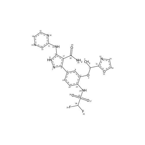 CC(Oc1cc(-c2n[nH]c(Nc3cnccn3)c2C(N)=O)ccc1NS(=O)(=O)C(F)F)c1ncco1